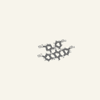 Cc1c2c3c4c5c1Sc1ccc(C(C)(C)C)cc1B5c1cc(C(C)(C)C)ccc1N4c1ccc(C(C)(C)C)cc1B3c1cc(C(C)(C)C)ccc1S2